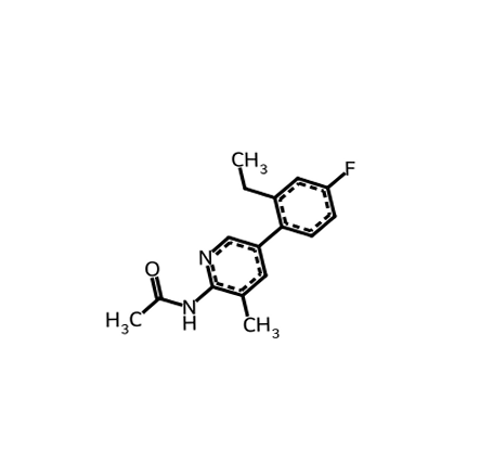 CCc1cc(F)ccc1-c1cnc(NC(C)=O)c(C)c1